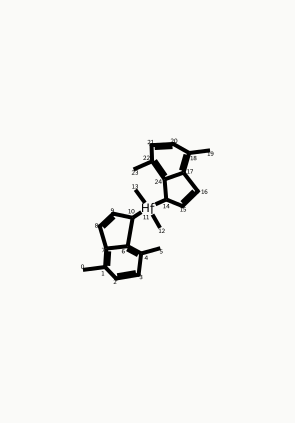 Cc1ccc(C)c2c1C=C[CH]2[Hf]([CH3])([CH3])[CH]1C=Cc2c(C)ccc(C)c21